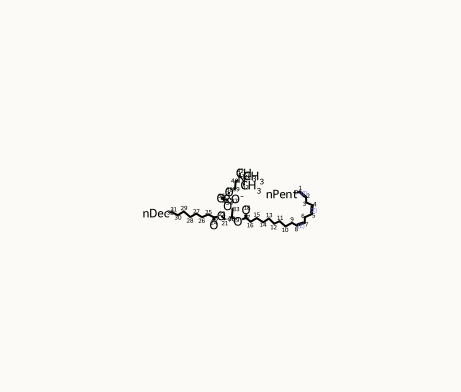 CCCCC/C=C\C/C=C\C/C=C\CCCCCCCCC(=O)O[C@H](COC(=O)CCCCCCCCCCCCCCCCC)COP(=O)([O-])OCC[N+](C)(C)C